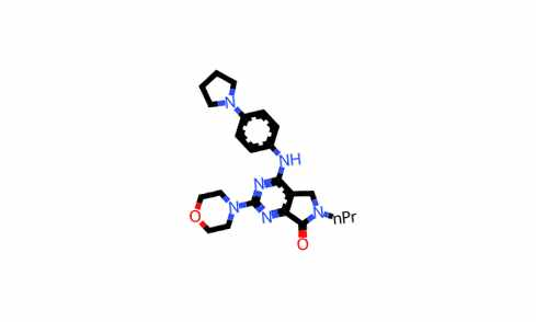 CCCN1Cc2c(Nc3ccc(N4CCCC4)cc3)nc(N3CCOCC3)nc2C1=O